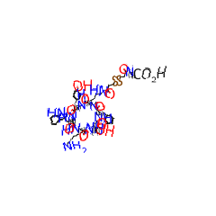 C[C@@H](O)C1NC(=O)[C@H](CCCCN)NC(=O)[C@@H](Cc2c[nH]c3ccccc23)NC(=O)[C@H](Cc2ccc(O)cc2)NC(=O)[C@H](CCCCNC(=O)CCSSCCC(=O)N(C)[C@@H](C)C(=O)O)N(C)C(=O)[C@H](Cc2ccccc2)NC1=O